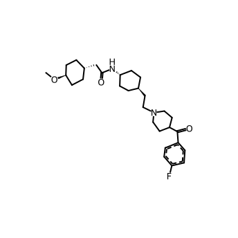 CO[C@H]1CC[C@H](CC(=O)N[C@H]2CC[C@H](CCN3CCC(C(=O)c4ccc(F)cc4)CC3)CC2)CC1